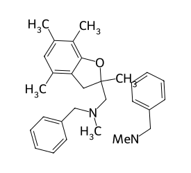 CNCc1ccccc1.Cc1cc(C)c2c(c1C)OC(C)(CN(C)Cc1ccccc1)C2